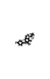 CC(C)(C)C(=O)n1ncc2cc(Nc3ccc(F)cc3)c(Br)c(F)c21